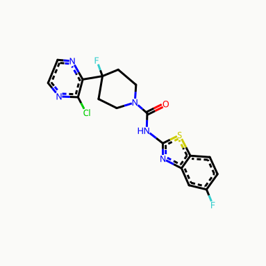 O=C(Nc1nc2cc(F)ccc2s1)N1CCC(F)(c2nccnc2Cl)CC1